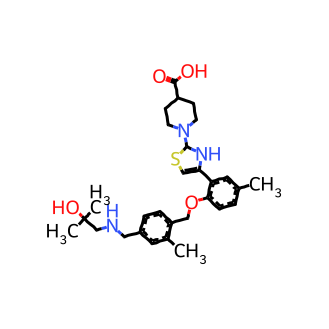 Cc1ccc(OCc2ccc(CNCC(C)(C)O)cc2C)c(C2=CSC(N3CCC(C(=O)O)CC3)N2)c1